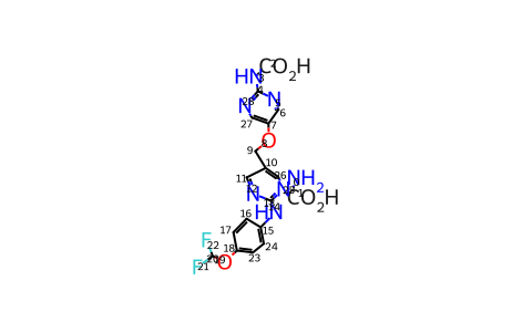 NC(=O)O.O=C(O)Nc1ncc(OCc2cnc(Nc3ccc(OC(F)F)cc3)nc2)cn1